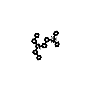 c1ccc(-c2cccc(-c3cc(-c4cccc(-c5ccccc5)c4)nc(-c4cccc(-c5cccc(-c6nc(-c7ccccc7)nc(-c7ccccc7)n6)c5)c4)c3)c2)cc1